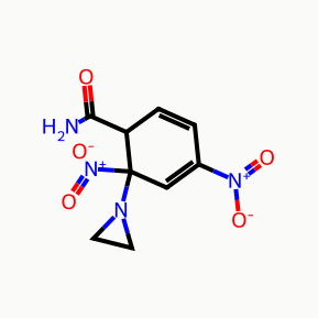 NC(=O)C1C=CC([N+](=O)[O-])=CC1(N1CC1)[N+](=O)[O-]